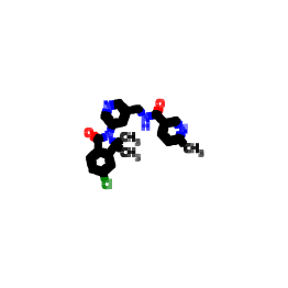 Cc1ccc(C(=O)NCc2cncc(N3C(=O)c4ccc(Cl)cc4C3(C)C)c2)cn1